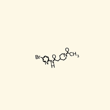 CC(=O)N1CCC(CC(=O)Nc2ccc(Br)cn2)CC1